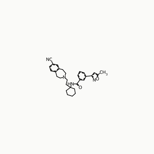 Cc1cc(-c2cccc(C(=O)NC3(CCN4CCc5ccc(C#N)cc5CC4)CCCCC3)c2)no1